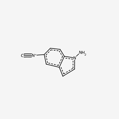 [C-]#[N+]c1ccc2c(ccn2N)c1